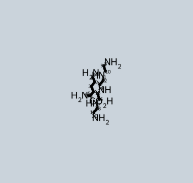 NCCCC[C@H](N)C(=O)O.NCCNCCNCCNCCN